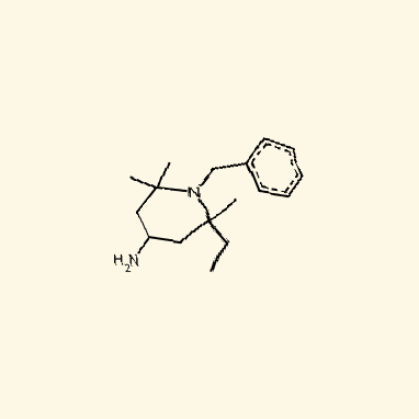 CCC1(C)CC(N)CC(C)(C)N1Cc1ccccc1